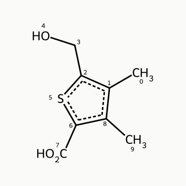 Cc1c(CO)sc(C(=O)O)c1C